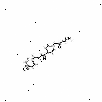 CCOC(=O)Cc1ccc(NCC=Cc2ccc(Cl)cc2)cc1